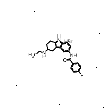 Br.CCNC1CCc2[nH]c3ccc(NC(=O)c4ccc(F)cc4)cc3c2C1